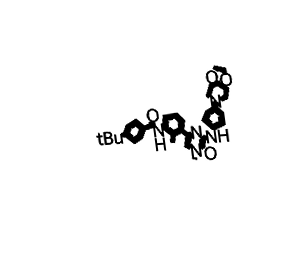 Cc1c(NC(=O)c2ccc(C(C)(C)C)cc2)cccc1-c1cn(C)c(=O)c(Nc2ccc(N3CCC4(CC3)OCCO4)cc2)n1